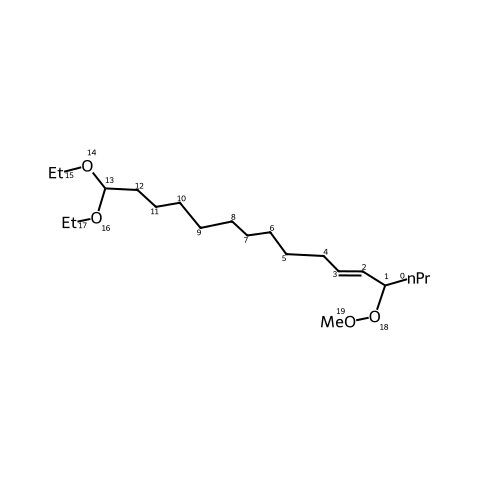 CCCC(C=CCCCCCCCCCC(OCC)OCC)OOC